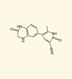 Cc1[nH]c(=O)c(C#N)cc1-c1ccc2c(c1)NCC(=O)N2